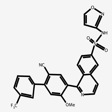 COc1cc(-c2cccc(C(F)(F)F)c2)c(C#N)cc1-c1nccc2cc(S(=O)(=O)Nc3ccon3)ccc12